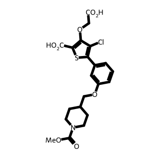 COC(=O)N1CCC(COc2cccc(-c3sc(C(=O)O)c(OCC(=O)O)c3Cl)c2)CC1